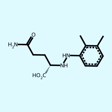 Cc1cccc(NN[C@@H](CCC(N)=O)C(=O)O)c1C